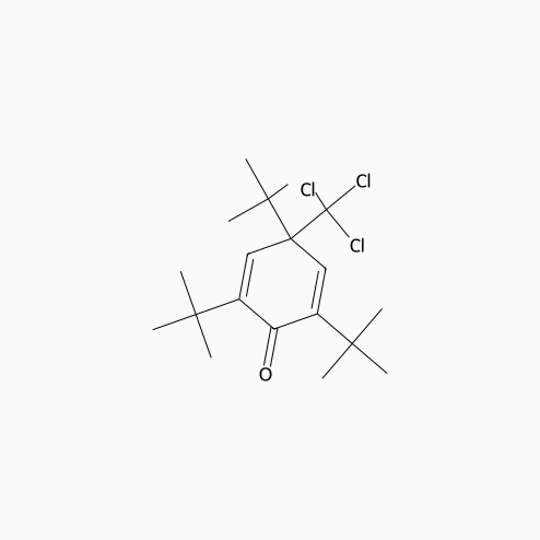 CC(C)(C)C1=CC(C(C)(C)C)(C(Cl)(Cl)Cl)C=C(C(C)(C)C)C1=O